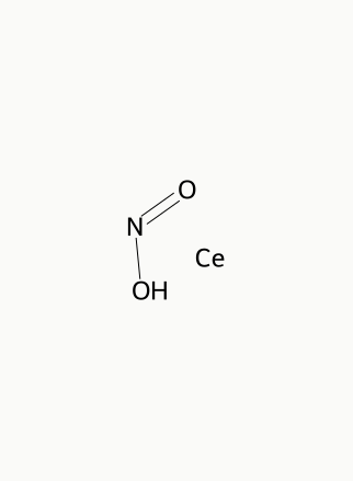 O=NO.[Ce]